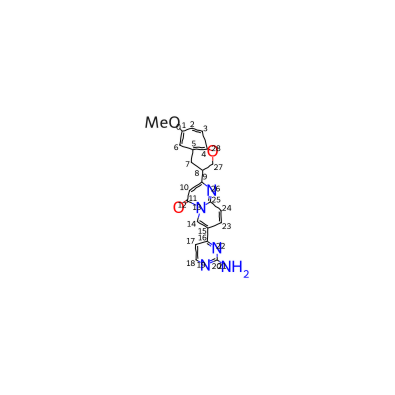 COc1ccc2c(c1)CC(c1cc(=O)n3cc(-c4ccnc(N)n4)ccc3n1)CO2